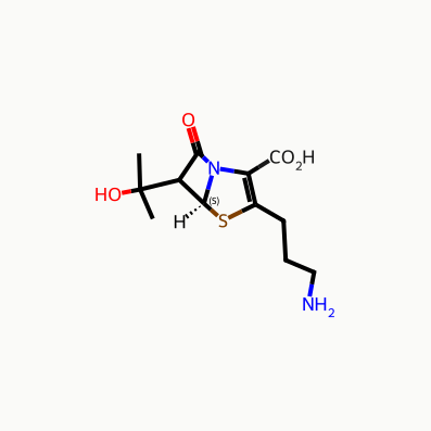 CC(C)(O)C1C(=O)N2C(C(=O)O)=C(CCCN)S[C@@H]12